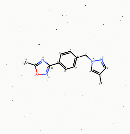 Cc1cnn(Cc2ccc(-c3noc(C(F)(F)F)n3)cc2)c1